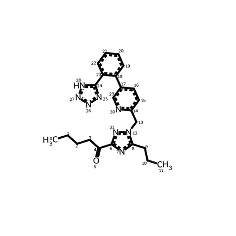 CCCCC(=O)c1nc(CCC)n(Cc2ccc(-c3ccccc3-c3nnn[nH]3)cn2)n1